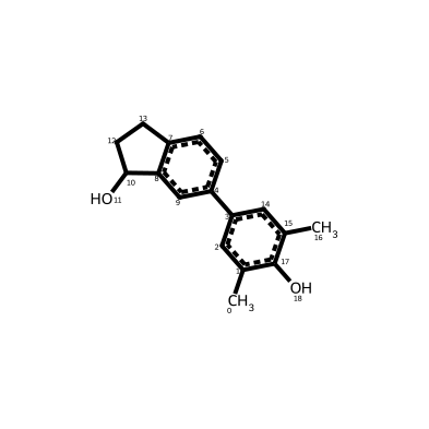 Cc1cc(-c2ccc3c(c2)C(O)CC3)cc(C)c1O